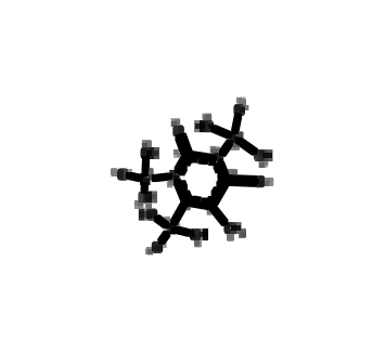 Cc1c([N+]([O-])(O)O)n([N+]([O-])(O)O)c(=O)n([N+]([O-])(O)O)c1=O